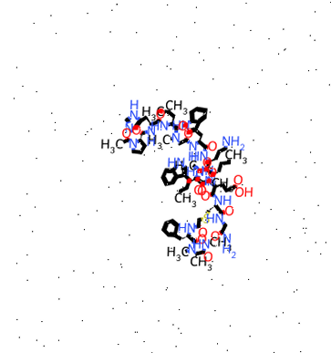 CCCC[C@@H](C(=O)N(C)[C@@H](CCCC)C(=O)N[C@@H](CCC(=O)O)C(=O)N[C@@H](CSCC(=O)N[C@@H](Cc1ccccc1)C(=O)N(C)[C@@H](C)C(=O)NC)C(=O)NCC(N)=O)N(C)C(=O)[C@H](Cc1c[nH]c2ccccc12)NC(=O)[C@H](CCCN)NC(=O)[C@H](Cc1c[nH]c2ccccc12)NC(=O)CN(C)C(=O)[C@H](CC(C)C)NC(=O)[C@H](Cc1cnc[nH]1)NC(=O)[C@@H]1CCCN1C(C)=O